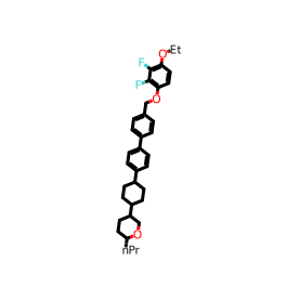 CCCC1CCC(C2CCC(c3ccc(-c4ccc(COc5ccc(OCC)c(F)c5F)cc4)cc3)CC2)CO1